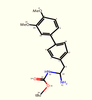 COc1ccc(-c2ccc(CC(N)NC(=O)OC(C)(C)C)cc2)cc1OC